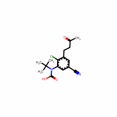 CC(=O)CCc1cc(C#N)cc(N(C(=O)O)C(C)(C)C)c1Cl